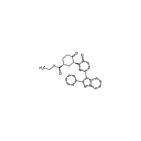 CCOC(=O)[C@H]1CCC(=O)[C@@H](n2nc(-c3c(-c4ccccc4)nn4ccccc34)ccc2=O)C1